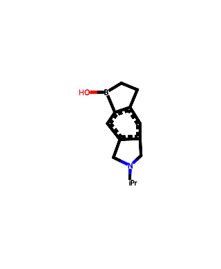 CC(C)N1Cc2cc3c(cc2C1)B(O)CC3